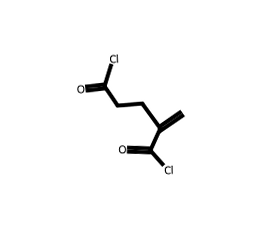 C=C(CCC(=O)Cl)C(=O)Cl